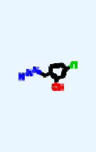 [N-]=[N+]=NCc1ccc(Cl)cc1O